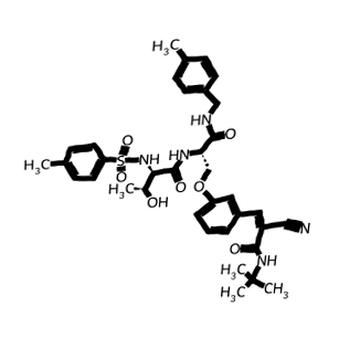 Cc1ccc(CNC(=O)[C@H](COc2cccc(C=C(C#N)C(=O)NC(C)(C)C)c2)NC(=O)[C@@H](NS(=O)(=O)c2ccc(C)cc2)[C@@H](C)O)cc1